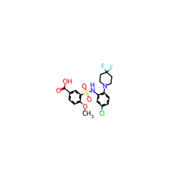 COc1ccc(C(=O)O)cc1S(=O)(=O)Nc1cc(Cl)ccc1N1CCC(F)(F)CC1